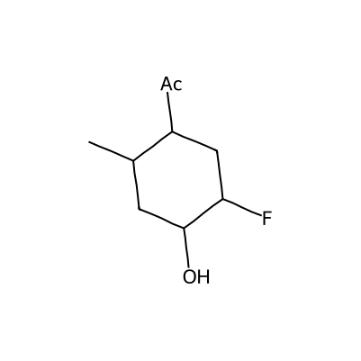 CC(=O)C1CC(F)C(O)CC1C